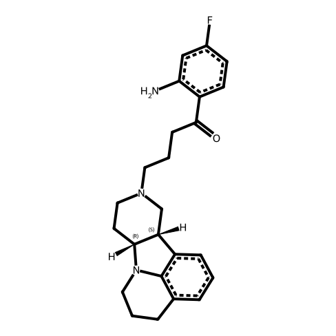 Nc1cc(F)ccc1C(=O)CCCN1CC[C@@H]2[C@H](C1)c1cccc3c1N2CCC3